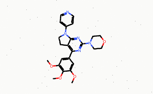 COc1cc(-c2nc(N3CCOCC3)nc3c2CCN3c2ccncc2)cc(OC)c1OC